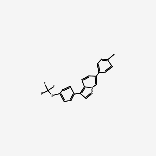 Cc1ccc(-c2cnc3c(-c4ccc(SC(F)(F)F)cc4)cnn3c2)cc1